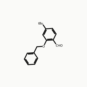 CC(C)(C)c1ccc(C=O)c(OCc2ccccc2)c1